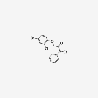 CCN(C(=O)COc1ccc(Br)cc1Cl)c1ccccc1